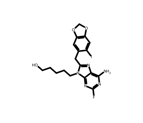 Nc1nc(F)nc2c1nc(Cc1cc3c(cc1I)OCO3)n2CCCCCO